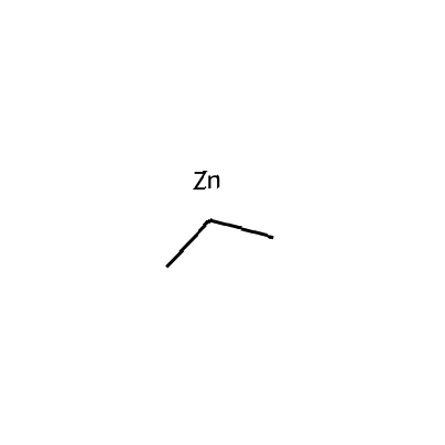 CCC.[Zn]